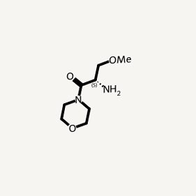 COC[C@H](N)C(=O)N1CCOCC1